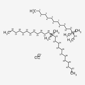 CCCCCCCCCCCC[N+](C)(C)CC.CCCCCCCCCCCC[N+](C)(C)CCCCCCCCCCCC.[Cl-].[Cl-]